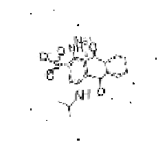 CC(C)Nc1cc(S(=O)(=O)[O-])c(N)c2c1C(=O)c1ccccc1C2=O.[Na+]